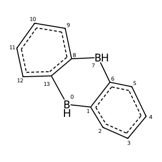 B1c2ccccc2Bc2ccccc21